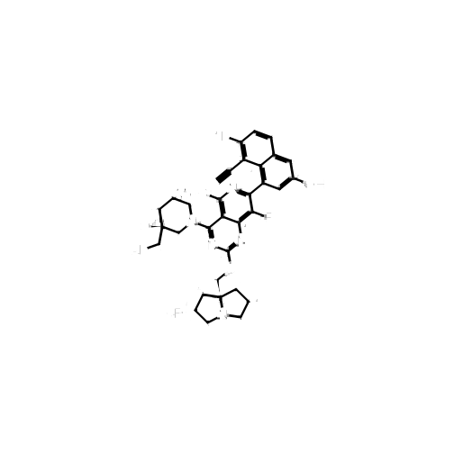 C#Cc1c(F)ccc2cc(O)cc(-c3nc(OC)c4c(N5CCC[C@@](O)(CF)C5)nc(OC[C@@]56CCCN5C[C@H](F)C6)nc4c3F)c12